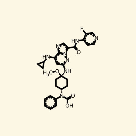 CO[C@]1(Nc2cc(NC3CC3)c3ncc(C(=O)Nc4ccncc4F)n3n2)CC[C@H](N(C(=O)O)c2ccccc2)CC1